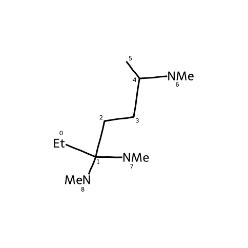 CCC(CCC(C)NC)(NC)NC